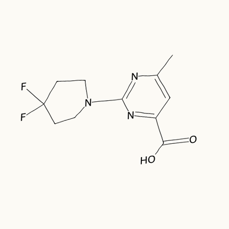 Cc1cc(C(=O)O)nc(N2CCC(F)(F)CC2)n1